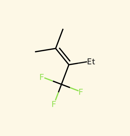 CCC(=C(C)C)C(F)(F)F